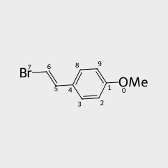 COc1ccc(C=CBr)cc1